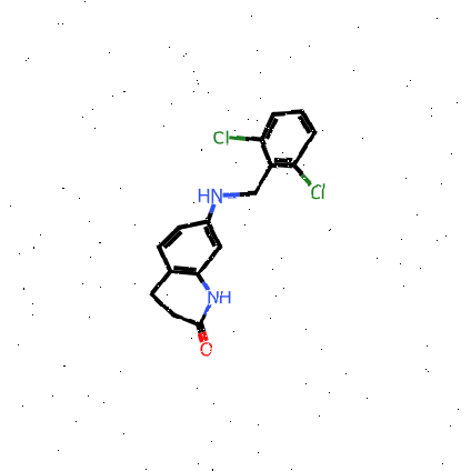 O=C1CCc2ccc(NCc3c(Cl)cccc3Cl)cc2N1